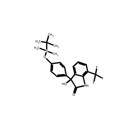 CC(C)(C)[Si](C)(C)Oc1ccc(C2(O)C(=O)Nc3c(C(F)(F)F)cccc32)cc1